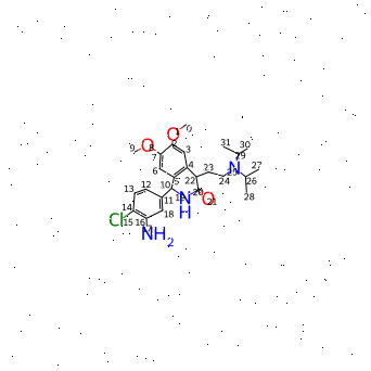 COc1cc2c(cc1OC)C(c1ccc(Cl)c(N)c1)NC(=O)C2CCN(C(C)C)C(C)C